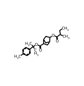 CCC(C)C(=O)OC1CC2CC1CC2C(=O)OC(C)(C)c1ccc(C)cc1